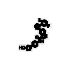 O=C(Nc1ccc(N2CCC(O)C2)cc1)c1cnn2ccc(N3CCCC3c3cc(F)ccc3F)cc12